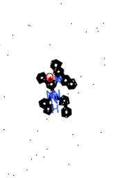 c1ccc(-c2cccc(C3N=C(c4cc(-n5c6cc7ccccc7cc6c6cc7ccccc7cc65)c5oc6ccccc6c5c4)N=C(c4cccc5ccccc45)N3)c2)cc1